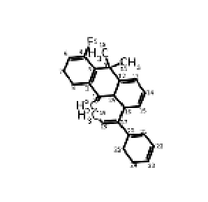 C=C1C2=C(C(F)=CCC2)C(C)(C)C2=CC=CC(/C(=C\C)C3=CC=CCC3)C12